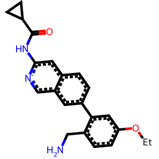 CCOc1ccc(CN)c(-c2ccc3cc(NC(=O)C4CC4)ncc3c2)c1